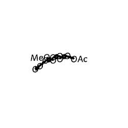 COc1cc(C(=O)Oc2ccc(OC(=O)c3ccc(OCCCCOC(C)=O)cc3)cc2)ccc1OCCCCOCC1(C)COC1